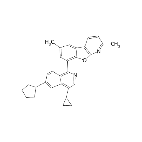 Cc1cc(-c2ncc(C3CC3)c3cc(C4CCCC4)ccc23)c2oc3nc(C)ccc3c2c1